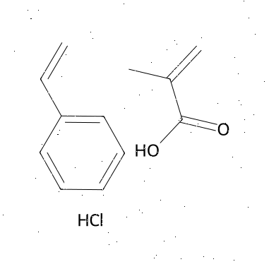 C=C(C)C(=O)O.C=Cc1ccccc1.Cl